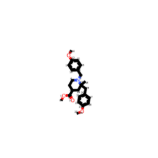 COC(=O)C1CCN(Cc2ccc(OC)cc2)C(C)(Cc2ccc(OC)cc2)C1